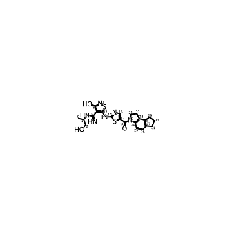 CC(CO)NC(=N)c1c(O)nsc1Nc1ncc(C(=O)N2CCc3c2ccc2c3CCC2)s1